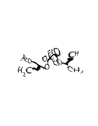 C#CC(C)OC(=O)C(CC)(CC)C(=O)OC(C=C)COC(C)=O